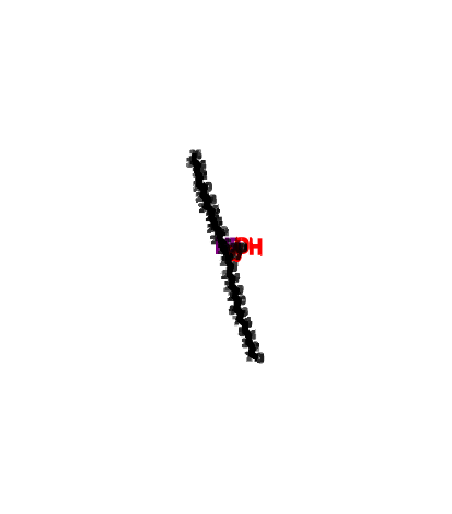 CCCCCCCCCCCCCCCCCCC(CCCCCCCCCCCCCCCCCC)OPO